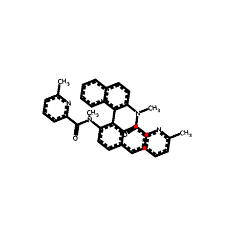 Cc1cccc(C(=O)N(C)c2ccc3ccccc3c2-c2c(N(C)C(=O)c3cccc(C)n3)ccc3ccccc23)n1